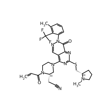 C=CC(=O)N1CCN(c2nc(SC[C@@H]3CCCN3C)nc3c(=O)n(-c4cccc(C)c4C(F)(F)F)ncc23)C[C@@H]1CC#N